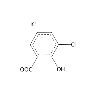 O=C([O-])c1cccc(Cl)c1O.[K+]